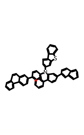 c1ccc(-c2ccc(-c3ccc4ccccc4c3)cc2N(c2ccc(-c3ccc4c(ccc5ccccc54)c3)cc2)c2ccc3c(c2)sc2ccccc23)cc1